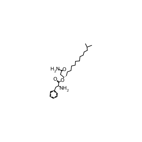 CC(C)CCCCCCCCCCC[C@@H](CC(N)=O)OC(=O)[C@@H](N)Cc1ccccc1